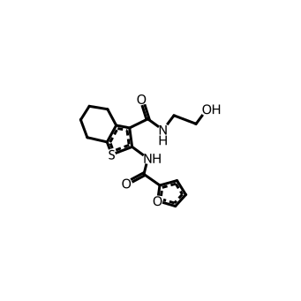 O=C(Nc1sc2c(c1C(=O)NCCO)CCCC2)c1ccco1